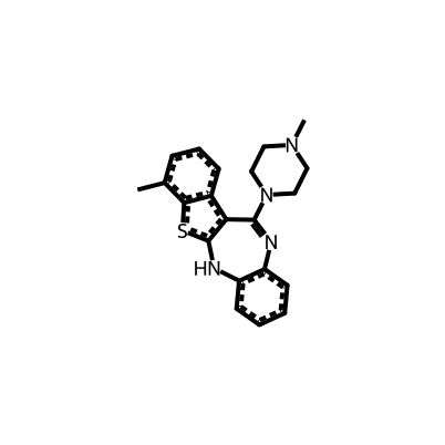 Cc1cccc2c3c(sc12)Nc1ccccc1N=C3N1CCN(C)CC1